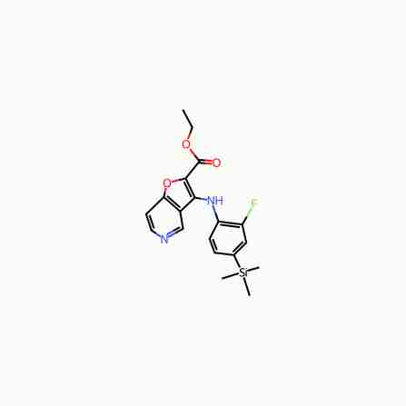 CCOC(=O)c1oc2ccncc2c1Nc1ccc([Si](C)(C)C)cc1F